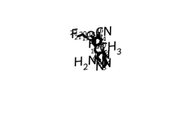 Cc1nc2ncnn2c(N)c1Cc1ccc(C#N)c(OCCCF)n1